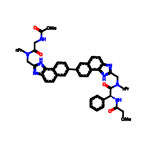 CCCN(Cc1nc2ccc3cc(-c4ccc5c(ccc6nc(CN(CCC)C(=O)[C@H](NC(=O)COC)c7ccccc7)[nH]c65)c4)ccc3c2[nH]1)C(=O)CNC(=O)OC